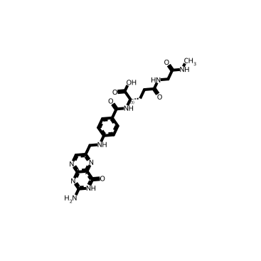 CNC(=O)CNC(=O)CC[C@H](NC(=O)c1ccc(NCc2cnc3nc(N)[nH]c(=O)c3n2)cc1)C(=O)O